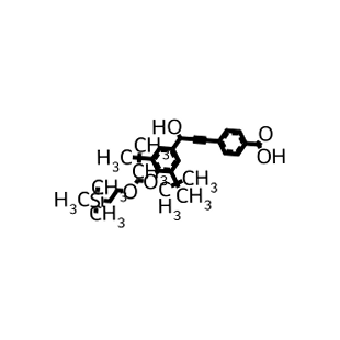 CC(C)(C)c1cc(C(O)C#Cc2ccc(C(=O)O)cc2)cc(C(C)(C)C)c1OCOCC[Si](C)(C)C